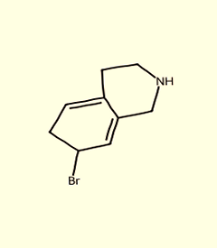 BrC1C=C2CNCCC2=CC1